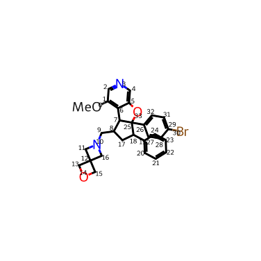 COc1cncc2c1C1C(CN3CC4(COC4)C3)CC(c3ccccc3)C1(c1ccc(Br)cc1)O2